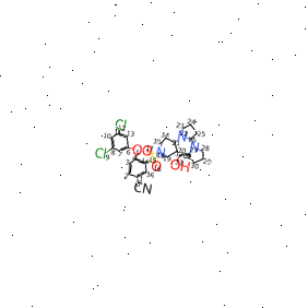 N#Cc1ccc(Oc2cc(Cl)cc(Cl)c2)c(S(=O)(=O)N2CCC(N3CCCC3N3CCC[C@H]3CO)CC2)c1